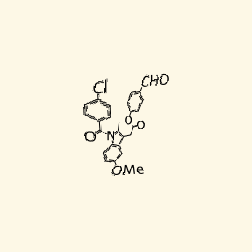 COc1ccc2c(c1)c(CC(=O)Oc1ccc(C=O)cc1)c(C)n2C(=O)c1ccc(Cl)cc1